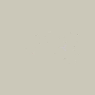 c1ccc2c(c1)oc1c3c(ccc12)-c1cccc2c(-n4c5ccccc5c5ccccc54)ccc-3c12